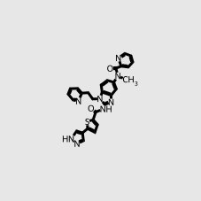 CN(C(=O)c1ccccn1)c1ccc2c(c1)nc(NC(=O)c1ccc(-c3cn[nH]c3)s1)n2CCc1ccccn1